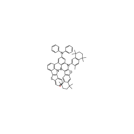 Cc1cc2c(cc1N1c3cc(N(c4ccccc4)c4ccccc4)cc4c3B(c3c1oc1cc5c(cc31)C(C)(C)CCC5(C)C)n1c3c-4cccc3c3sc4ccccc4c31)C(C)(C)CCC2(C)C